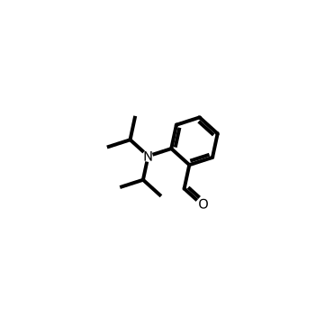 CC(C)N(c1ccccc1C=O)C(C)C